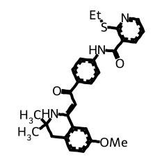 CCSc1ncccc1C(=O)Nc1ccc(C(=O)/C=C2\NC(C)(C)Cc3ccc(OC)cc32)cc1